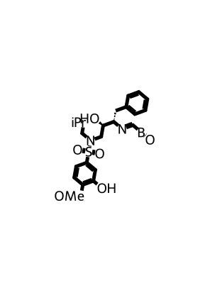 COc1ccc(S(=O)(=O)N(CC(C)C)C[C@@H](O)[C@H](Cc2ccccc2)/N=C/B=O)cc1O